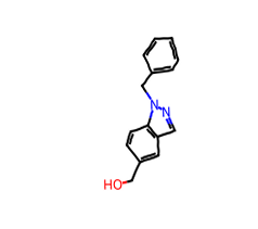 OCc1ccc2c(cnn2Cc2ccccc2)c1